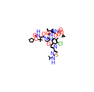 C=CC1C[C@]1(NC(=O)[C@@H]1CC(Oc2cc(-c3csc(NC(C)C)n3)nc3c(Cl)c(C)ccc23)CN1C(=O)[C@@H](NC(=O)OC1CCCC1)C(C)(C)C)C(=O)NS(=O)(=O)OC1CC1